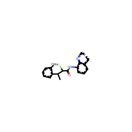 COc1ccccc1C(C)C(F)C(=O)Nc1cccc2cccnc12